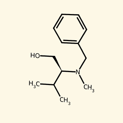 CC(C)[C@@H](CO)N(C)Cc1ccccc1